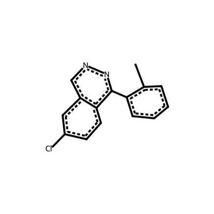 Cc1ccccc1-c1nncc2cc(Cl)ccc12